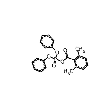 Cc1cccc(C)c1C(=O)OP(=O)(Oc1ccccc1)Oc1ccccc1